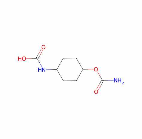 NC(=O)OC1CCC(NC(=O)O)CC1